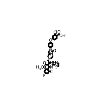 COC(=O)C1=C(CN2CCN3C(=O)N(c4ccc(Oc5ccc(C(=O)O)c(Cl)c5)cc4)CC3C2)NC(c2nccs2)=NC1c1ccc(F)cc1Cl